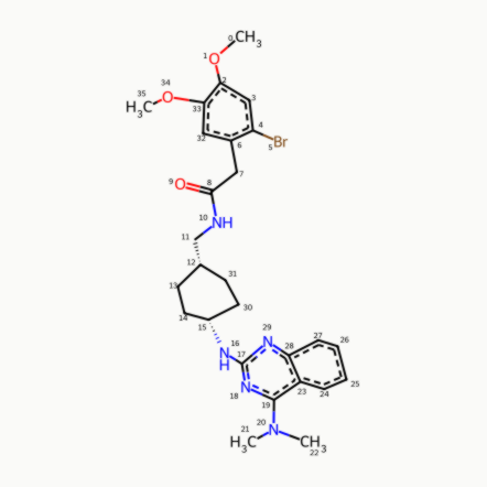 COc1cc(Br)c(CC(=O)NC[C@H]2CC[C@@H](Nc3nc(N(C)C)c4ccccc4n3)CC2)cc1OC